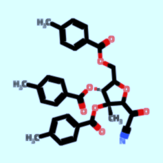 Cc1ccc(C(=O)OCC2OC(C(=O)C#N)[C@](C)(OC(=O)c3ccc(C)cc3)[C@@H]2OC(=O)c2ccc(C)cc2)cc1